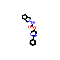 O=C(NN1CC2CCCC2C1)Oc1cnc(-c2ccccc2)nc1